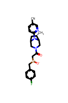 C[C@H]1CC2CN(C(=O)C[S+]([O-])Cc3ccc(F)cc3)CC1N2c1ccc(C#N)cn1